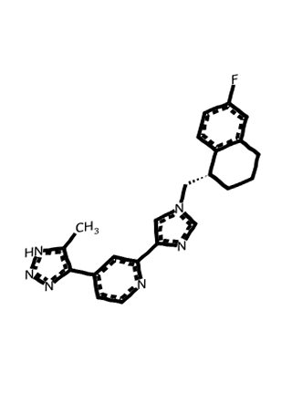 Cc1[nH]nnc1-c1ccnc(-c2cn(C[C@H]3CCCc4cc(F)ccc43)cn2)c1